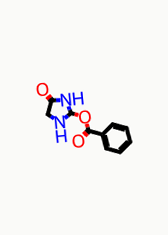 O=C1CNC(OC(=O)c2ccccc2)N1